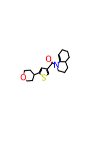 O=C(c1csc(C2CCOCC2)c1)N1CCCC2CCCC=C21